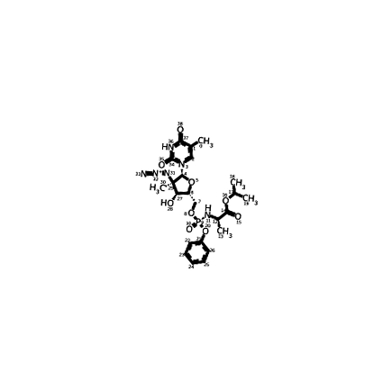 Cc1cn([C@@H]2O[C@H](CO[P@@](=O)(N[C@H](C)C(=O)OC(C)C)Oc3ccccc3)[C@@H](O)[C@@]2(C)N=[N+]=[N-])c(=O)[nH]c1=O